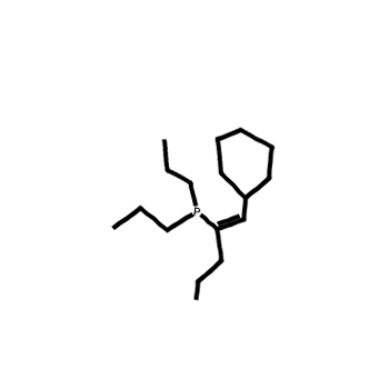 CCCC(=CC1CCCCC1)P(CCC)CCC